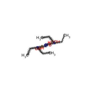 CCCCCCCC/C=C\CCCCCC[C@@H](O)CN(CCCCC(=O)OCCN1CCN(CCSSCCCCN(C[C@@H](O)CCCCCC/C=C\CCCCCCCC)C[C@@H](O)CCCCCC/C=C\CCCCCCCC)CC1)C[C@H](O)CCCCCC/C=C\CCCCCCCC